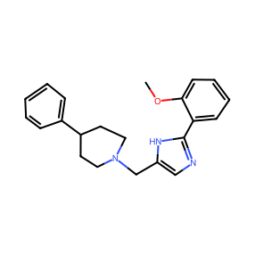 COc1ccccc1-c1ncc(CN2CCC(c3ccccc3)CC2)[nH]1